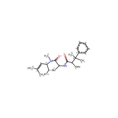 CNC(C(=O)NC(C(=O)N(C)C(C=C(C)C(=O)O)CC(C)C)C(C)(C)C)C(C)(C)c1ccccc1